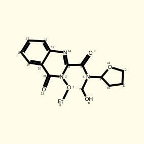 CCOn1c(C(=O)N(CO)C2CCCO2)nc2ccccc2c1=O